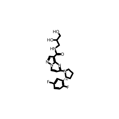 O=C(NCC(O)CO)c1cnn2ccc(N3CCC[C@@H]3c3cc(F)ccc3F)nc12